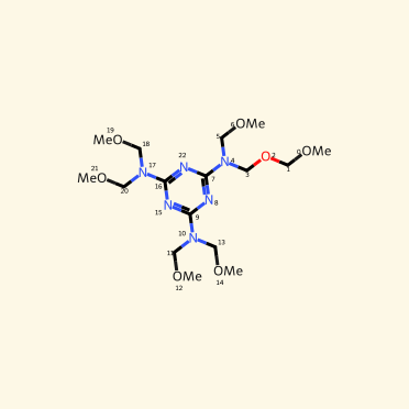 COCOCN(COC)c1nc(N(COC)COC)nc(N(COC)COC)n1